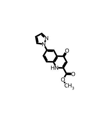 COC(=O)c1cc(=O)c2cc(-n3cccn3)ccc2[nH]1